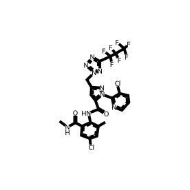 CNC(=O)c1cc(Cl)cc(C)c1NC(=O)c1cc(Cn2nnc(C(F)(F)C(F)(F)C(F)(F)F)n2)nn1-c1ncccc1Cl